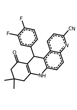 CC1(C)CC(=O)C2=C(C1)Nc1ccc3nc(C#N)ccc3c1C2c1ccc(F)c(F)c1